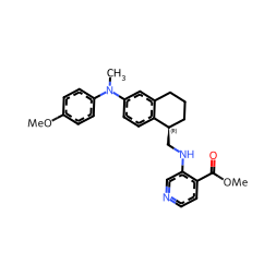 COC(=O)c1ccncc1NC[C@@H]1CCCc2cc(N(C)c3ccc(OC)cc3)ccc21